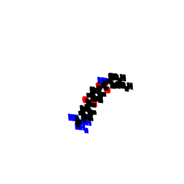 N=C(N)Nc1ccc(C(=O)Oc2ccc(OC(=O)N[C@@H](CC(=O)O)C(=O)O)cc2)cc1